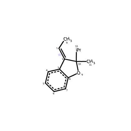 C/C=C1/c2ccccc2OC1(C)C(C)C